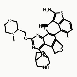 CN1CCOC[C@H]1COc1nc(N2C3CCC2CNC3)c2c3c(c(-c4c(F)ccc5sc(N)c(C#N)c45)c(F)c2n1)COC3